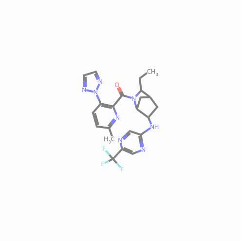 CCC1C2CC(Nc3cnc(C(F)(F)F)cn3)C(C2)N1C(=O)c1nc(C)ccc1-n1nccn1